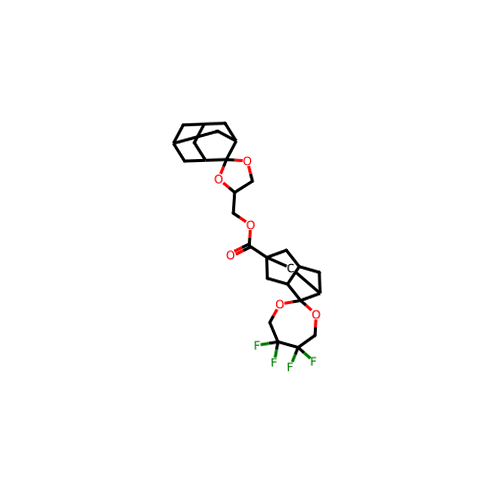 O=C(OCC1COC2(O1)C1CC3CC(C1)CC2C3)C12CC3CC(C1)C1(OCC(F)(F)C(F)(F)CO1)C3C2